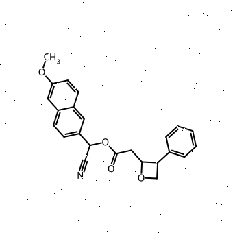 COc1ccc2cc(C(C#N)OC(=O)CC3OCC3c3ccccc3)ccc2c1